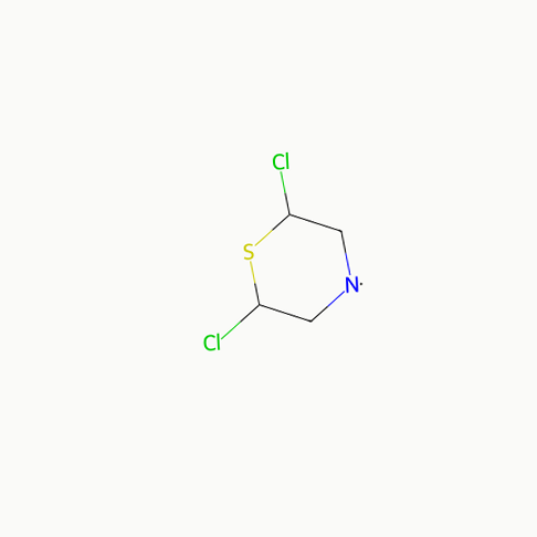 ClC1C[N]CC(Cl)S1